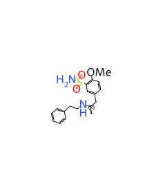 COc1ccc(C[C@@H](C)NCCc2ccccc2)cc1S(N)(=O)=O